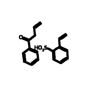 C=CCC(=O)c1ccccc1.C=Cc1ccccc1S(=O)(=O)O